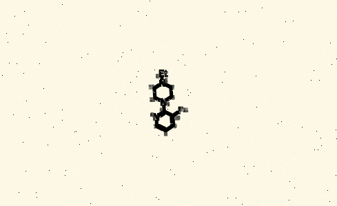 CCN1CCN(c2ncccc2F)CC1